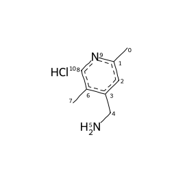 Cc1cc(CN)c(C)cn1.Cl